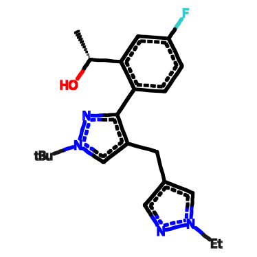 CCn1cc(Cc2cn(C(C)(C)C)nc2-c2ccc(F)cc2[C@@H](C)O)cn1